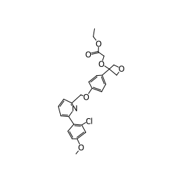 CCOC(=O)COC1(c2ccc(OCc3cccc(-c4ccc(OC)cc4Cl)n3)cc2)COC1